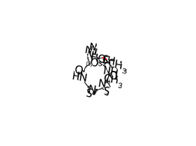 CC(C)C1NC(=O)[C@]2(C)CSC(=N2)c2csc(n2)CNC(=O)C[C@@H](Cn2nncc2CCS)OC1=O